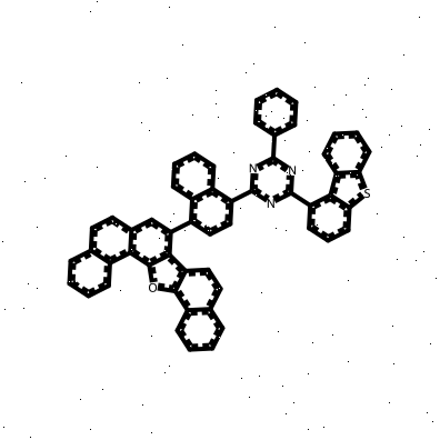 c1ccc(-c2nc(-c3ccc(-c4cc5ccc6ccccc6c5c5oc6c7ccccc7ccc6c45)c4ccccc34)nc(-c3cccc4sc5ccccc5c34)n2)cc1